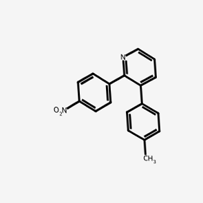 Cc1ccc(-c2cccnc2-c2ccc([N+](=O)[O-])cc2)cc1